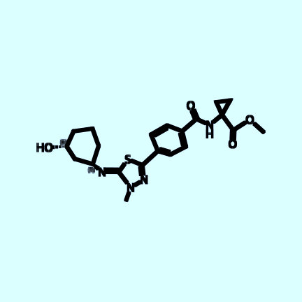 COC(=O)C1(NC(=O)c2ccc(-c3nn(C)c(=N[C@@H]4CCC[C@@H](O)C4)s3)cc2)CC1